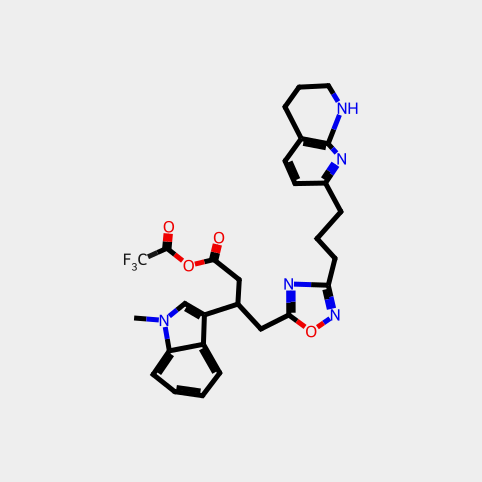 Cn1cc(C(CC(=O)OC(=O)C(F)(F)F)Cc2nc(CCCc3ccc4c(n3)NCCC4)no2)c2ccccc21